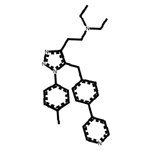 CCN(CC)CCc1nnn(-c2ccc(C)cc2)c1Cc1ccc(-c2ccncc2)cc1